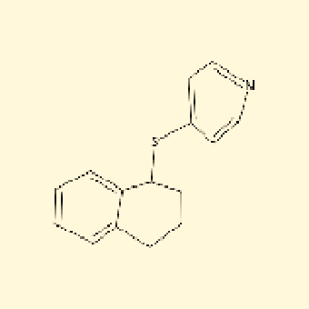 c1ccc2c(c1)CCCC2Sc1ccncc1